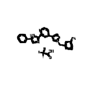 N#Cc1cccc(Cn2cc(-c3ccnc(-c4ncc(-c5ccccc5)[nH]4)c3)cn2)c1.O=C(O)C(F)(F)F